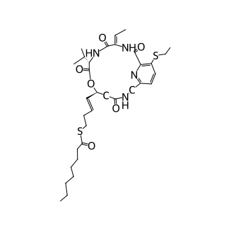 C/C=C1\NC(=O)c2nc(ccc2SCC)CNC(=O)C[C@@H](/C=C/CCSC(=O)CCCCCCC)OC(=O)[C@H](C(C)C)NC1=O